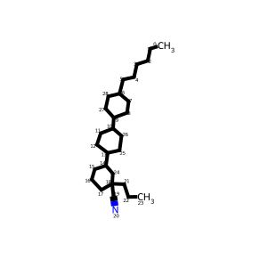 CCCCCCC1CCC(C2CCC(C3CCCC(C#N)(CCC)C3)CC2)CC1